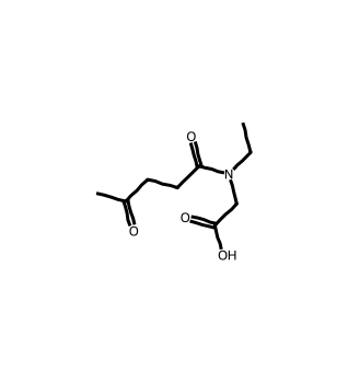 CCN(CC(=O)O)C(=O)CCC(C)=O